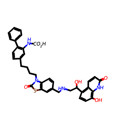 O=C(O)Nc1cc(CCCCn2c(=O)sc3cc(CNCC(O)c4ccc(O)c5[nH]c(=O)ccc45)ccc32)ccc1-c1ccccc1